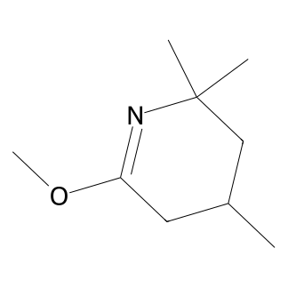 COC1=NC(C)(C)CC(C)C1